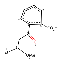 CCC(CC(=O)c1ccccc1C(=O)O)OC